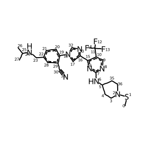 CSN1CCC(Nc2ncc(C(F)(F)F)c(-c3cn(-c4ccc(CNC(C)C)cc4C#N)cn3)n2)CC1